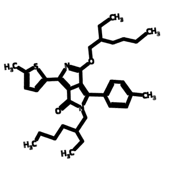 CCCCC(CC)COC1=NC(c2ccc(C)s2)=C2C(=O)N(CC(CC)CCCC)C(c3ccc(C)cc3)=C12